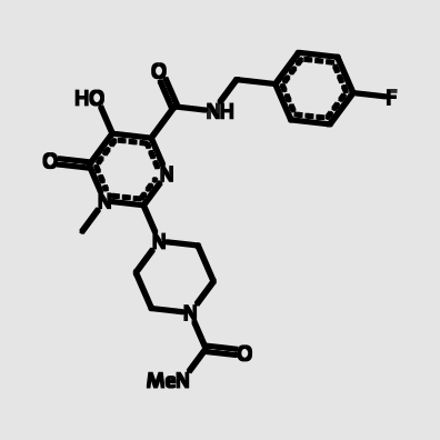 CNC(=O)N1CCN(c2nc(C(=O)NCc3ccc(F)cc3)c(O)c(=O)n2C)CC1